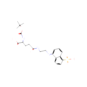 CC(C)(C)OC(=O)NC(CCC(=O)NCCNc1cccc2c(S(=O)(=O)O)cccc12)C(=O)O